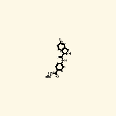 CCCCNC(=O)c1ccc(NC(=O)C2NCc3cc(F)ccc32)cc1